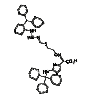 O=C(O)C(=NOCCSC=NNNc1ccccc1C(c1ccccc1)c1ccccc1)c1csc(NC(c2ccccc2)(c2ccccc2)c2ccccc2)n1